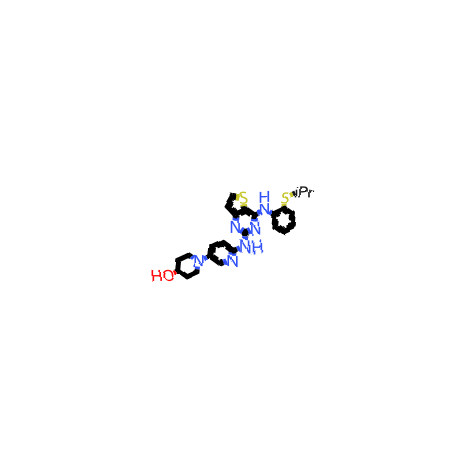 CC(C)Sc1ccccc1Nc1nc(Nc2ccc(N3CCC(O)CC3)cn2)nc2ccsc12